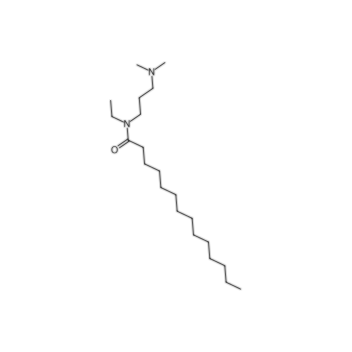 CCCCCCCCCCCCCC(=O)N(CC)CCCN(C)C